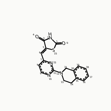 O=C1NC(=O)C(=Cc2ccnc(N3CCc4ccccc4C3)n2)S1